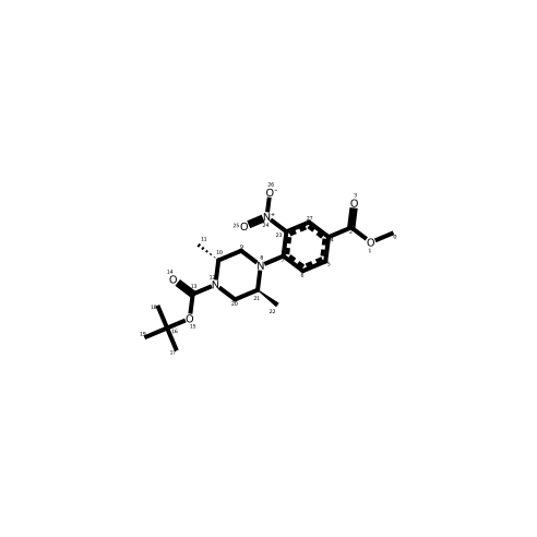 COC(=O)c1ccc(N2C[C@@H](C)N(C(=O)OC(C)(C)C)C[C@@H]2C)c([N+](=O)[O-])c1